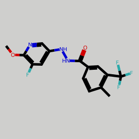 COc1ncc(NNC(=O)c2ccc(C)c(C(F)(F)F)c2)cc1F